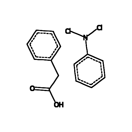 ClN(Cl)c1ccccc1.O=C(O)Cc1ccccc1